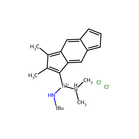 CC1=[C]([Ti+2]([NH]C(C)(C)C)[SiH](C)C)c2cc3c(cc2=C1C)C=CC=3.[Cl-].[Cl-]